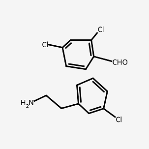 NCCc1cccc(Cl)c1.O=Cc1ccc(Cl)cc1Cl